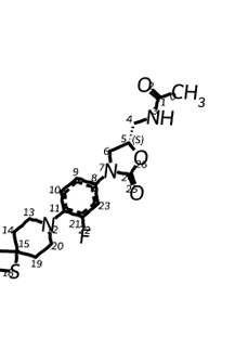 CC(=O)NC[C@H]1CN(c2ccc(N3CCC4(CCS4)CC3)c(F)c2)C(=O)O1